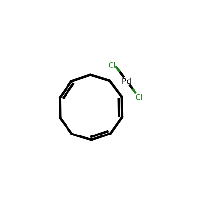 C1=CCCC=CCCC=C1.[Cl][Pd][Cl]